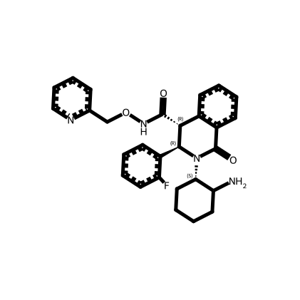 NC1CCCC[C@@H]1N1C(=O)c2ccccc2[C@@H](C(=O)NOCc2ccccn2)[C@@H]1c1ccccc1F